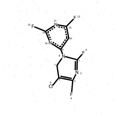 FC1=NC(F)=C(Cl)[CH]N1c1cc(F)nc(F)n1